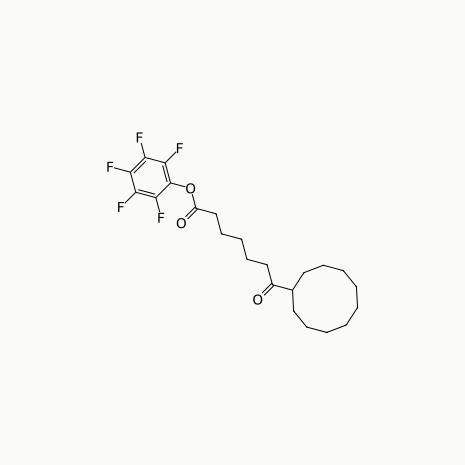 O=C(CCCCCC(=O)C1CCCCCCCCC1)Oc1c(F)c(F)c(F)c(F)c1F